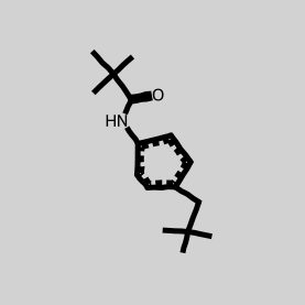 CC(C)(C)Cc1ccc(NC(=O)C(C)(C)C)cc1